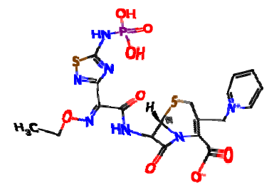 CCON=C(C(=O)NC1C(=O)N2C(C(=O)[O-])=C(C[n+]3ccccc3)CS[C@@H]12)c1nsc(NP(=O)(O)O)n1